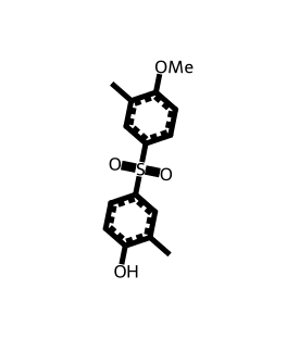 COc1ccc(S(=O)(=O)c2ccc(O)c(C)c2)cc1C